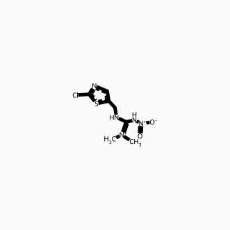 C[N+](C)=C(NCc1cnc(Cl)s1)N[N+](=O)[O-]